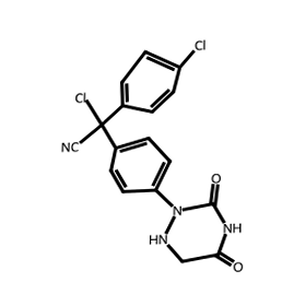 N#CC(Cl)(c1ccc(Cl)cc1)c1ccc(N2NCC(=O)NC2=O)cc1